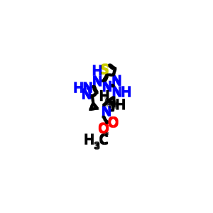 CCOC(=O)CN1C[C@@H]2C(Nc3nc(Nc4cc(C5CC5)n[nH]4)c4sccc4n3)[C@@H]2C1